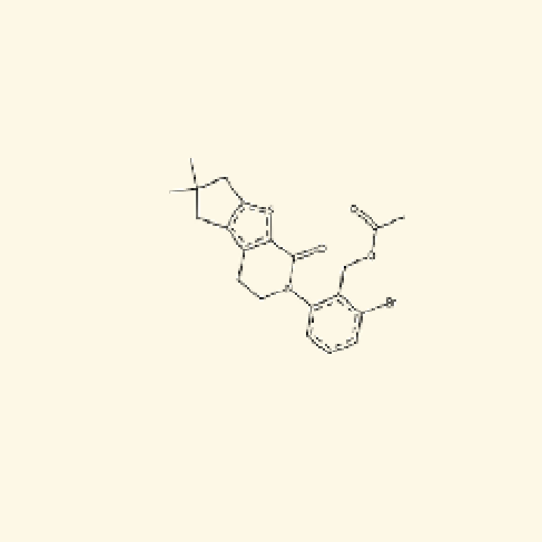 CC(=O)OCc1c(Br)cccc1N1CCc2c(sc3c2CC(C)(C)C3)C1=O